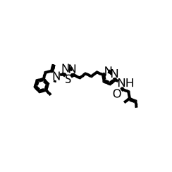 C=C(Cc1cccc(C)c1)N(C)c1nnc(CCCCc2ccc(NC(=O)C/C(C)=C/C)nn2)s1